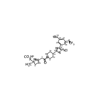 CC1(CC(=O)O)CSC(CC(=O)N2CCC(c3nc(-c4cc(SC(F)(F)F)cc(C(C)(C)C)c4)c(Cl)s3)CC2)=N1